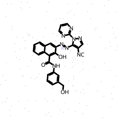 [C-]#[N+]c1cnn(-c2ncccn2)c1/N=N/c1cc2ccccc2c(C(=O)Nc2cccc(CO)c2)c1O